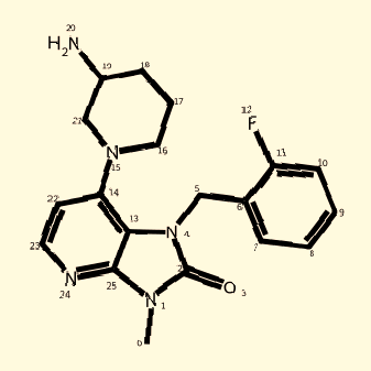 Cn1c(=O)n(Cc2ccccc2F)c2c(N3CCCC(N)C3)ccnc21